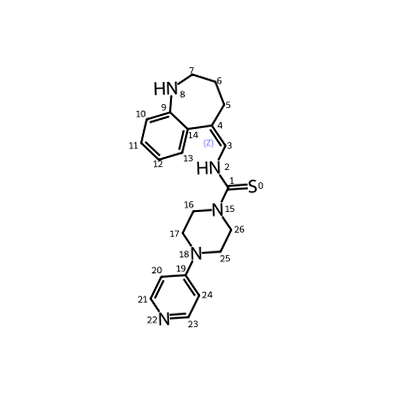 S=C(N/C=C1/CCCNc2ccccc21)N1CCN(c2ccncc2)CC1